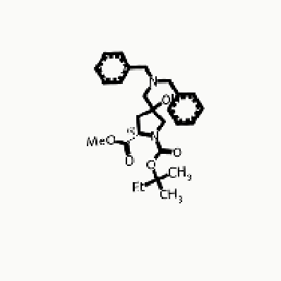 CCC(C)(C)OC(=O)N1CC(O)(CN(Cc2ccccc2)Cc2ccccc2)C[C@H]1C(=O)OC